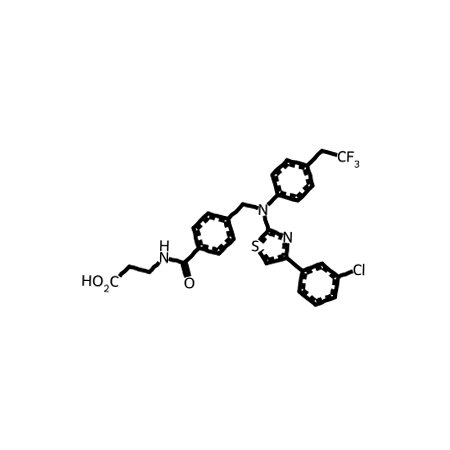 O=C(O)CCNC(=O)c1ccc(CN(c2ccc(CC(F)(F)F)cc2)c2nc(-c3cccc(Cl)c3)cs2)cc1